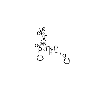 CS(=O)(=O)OC[C@@]1(F)C[C@@H](C(=O)OCc2ccccc2)N(C(=O)CNC(=O)CCCOc2ccccc2)C1